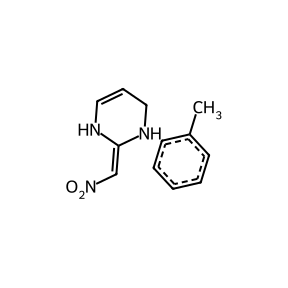 Cc1ccccc1.O=[N+]([O-])C=C1NC=CCN1